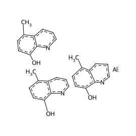 Cc1ccc(O)c2ncccc12.Cc1ccc(O)c2ncccc12.Cc1ccc(O)c2ncccc12.[Al]